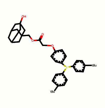 CC(C)(C)c1ccc([S+](c2ccc(OCC(=O)OCC34CC5CC(CC(O)(C5)C3)C4)cc2)c2ccc(C(C)(C)C)cc2)cc1